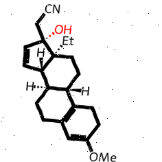 CC[C@]12CC[C@@H]3C4=C(C=C(OC)CC4)CC[C@H]3[C@@H]1C=C[C@@]2(O)CC#N